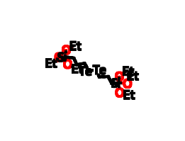 CCO[Si](CCC[Te][Te]CCC[Si](OCC)(OCC)OCC)(OCC)OCC